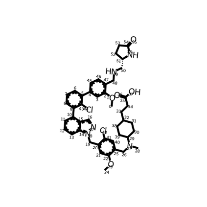 COc1cc(-c2cccc(-c3cccc4c3cnn4Cc3cc(OC)c(CN(C)C4CCC(CCC(=O)O)CC4)cc3Cl)c2Cl)ccc1CNC[C@@H]1CCC(=O)N1